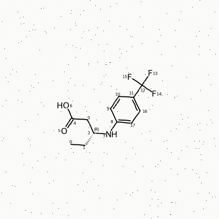 CC[C@H](CC(=O)O)Nc1ccc(C(F)(F)F)cc1